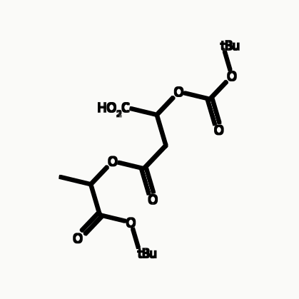 CC(OC(=O)CC(OC(=O)OC(C)(C)C)C(=O)O)C(=O)OC(C)(C)C